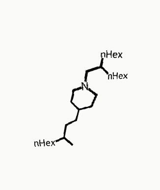 CCCCCCC(C)CCC1CCN(CC(CCCCCC)CCCCCC)CC1